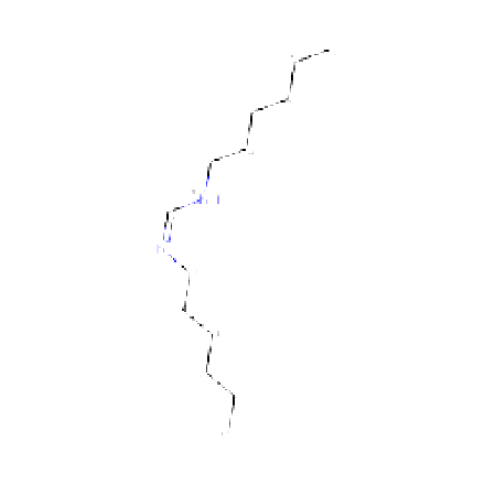 CCCCCC/N=[C]\NCCCCCC